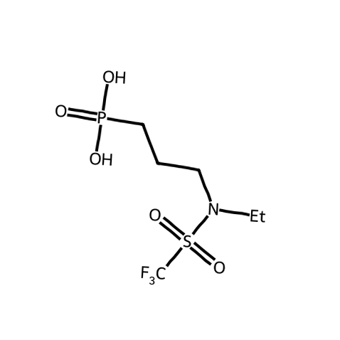 CCN(CCCP(=O)(O)O)S(=O)(=O)C(F)(F)F